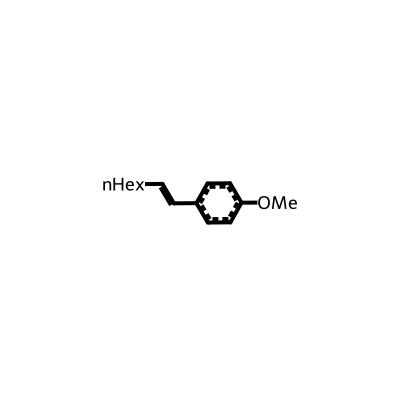 CCCCCCC=Cc1ccc(OC)cc1